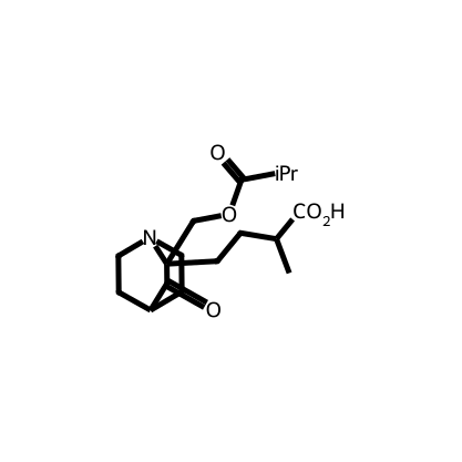 CC(C)C(=O)OCC1(CCC(C)C(=O)O)C(=O)C2CCN1CC2